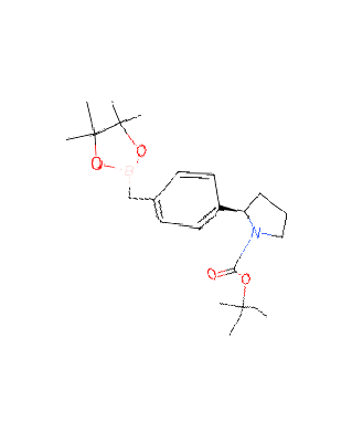 CC(C)(C)OC(=O)N1CCC[C@@H]1c1ccc(CB2OC(C)(C)C(C)(C)O2)cc1